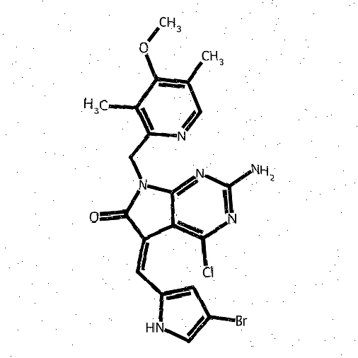 COc1c(C)cnc(CN2C(=O)/C(=C/c3cc(Br)c[nH]3)c3c(Cl)nc(N)nc32)c1C